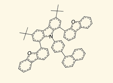 CC(C)(C)c1cc(-c2cccc3c2oc2ccccc23)c2c(c1)c1cc(C(C)(C)C)cc(-c3cccc4c3oc3ccccc34)c1n2-c1ccc(-c2cccc3ccccc23)cc1